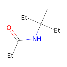 CCC(=O)NC(C)(CC)CC